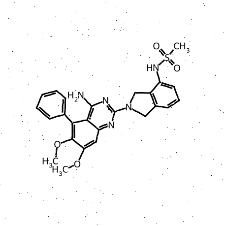 COc1cc2nc(N3Cc4cccc(NS(C)(=O)=O)c4C3)nc(N)c2c(-c2ccccc2)c1OC